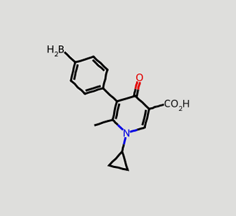 Bc1ccc(-c2c(C)n(C3CC3)cc(C(=O)O)c2=O)cc1